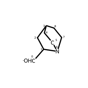 O=[C]C1CC2CCN1CC2